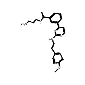 COc1ccc(CCNc2nccc(-c3cccc(C(C)NCCCN)c3)n2)cc1